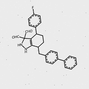 O=CC1(C=O)NNC2=C1C(c1ccc(F)cc1)CCC2Cc1ccc(-c2ccccc2)cc1